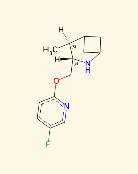 C[C@H]1C2CC(C2)N[C@@H]1COc1ccc(F)cn1